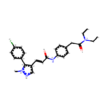 CCN(CC)C(=O)Cc1ccc(NC(=O)C=Cc2cnn(C)c2-c2ccc(F)cc2)cc1